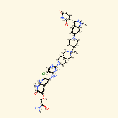 CNC(=O)COc1cc2cc(Nc3nc(N4CCC5(CC4)CCN([C@H](C)C4CCN(c6ccc7c([C@H]8CCC(=O)NC8=O)nn(C)c7c6)CC4)CC5)ncc3Cl)cnc2n(C)c1=O